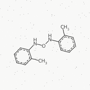 Cc1ccccc1NONc1ccccc1C